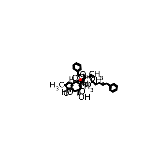 C=C(C)[C@@]12OC3(c4ccccc4)O[C@@H]1[C@@H]1C4OC4(CO)C[C@]4(O)C(=O)C(C)=C[C@H]4[C@@]1(O3)[C@H](C)[C@H]2OC(=O)CCCCc1ccccc1